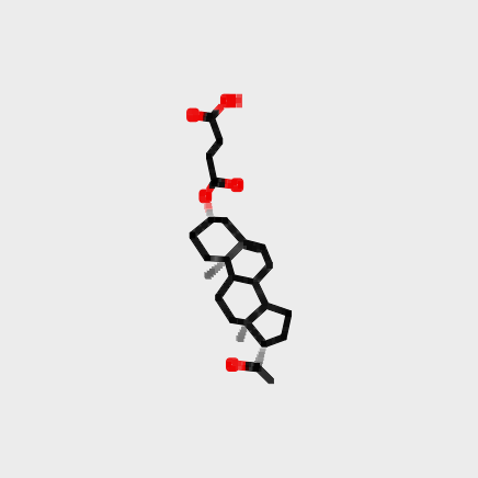 CC(=O)[C@H]1CCC2C3CC=C4C[C@@H](OC(=O)CCC(=O)O)CC[C@]4(C)C3CC[C@@]21C